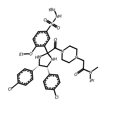 CCOc1ccc(S(=O)(=O)NC(C)(C)C)cc1C1(C(=O)N2CCN(CC(=O)N(C)C(C)C)CC2)N[C@H](c2ccc(Cl)cc2)[C@H](c2ccc(Cl)cc2)N1